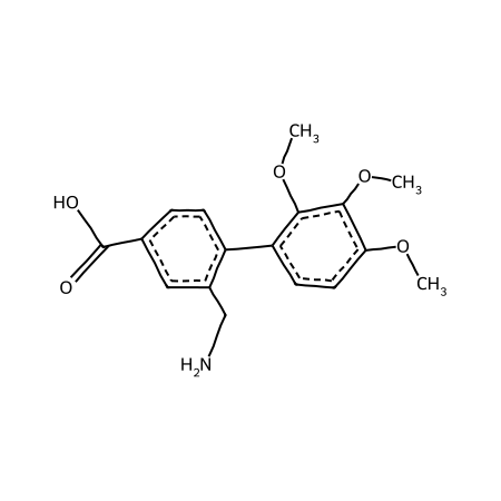 COc1ccc(-c2ccc(C(=O)O)cc2CN)c(OC)c1OC